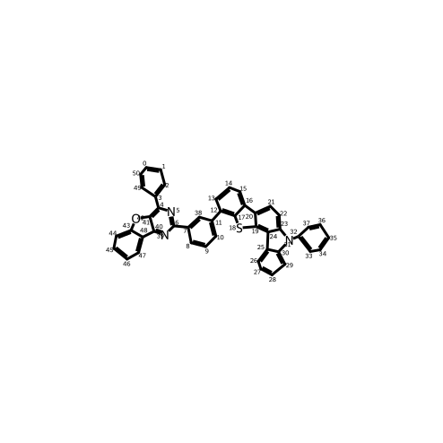 c1ccc(-c2nc(-c3cccc(-c4cccc5c4sc4c5ccc5c4c4ccccc4n5-c4ccccc4)c3)nc3c2oc2ccccc23)cc1